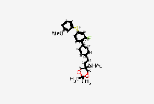 COc1cccc(Sc2ccc(-c3ccc(CCC4(NC(C)=O)COC(C)(C)OC4)cc3)c(F)c2)c1